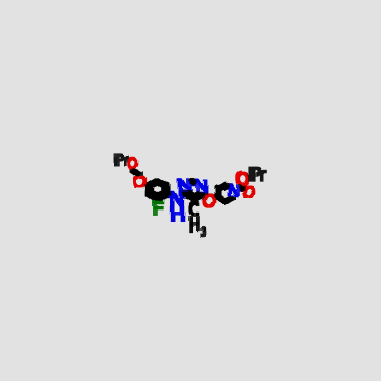 Cc1c(Nc2ccc(OCCOC(C)C)cc2F)ncnc1OC1CCN(C(=O)OC(C)C)CC1